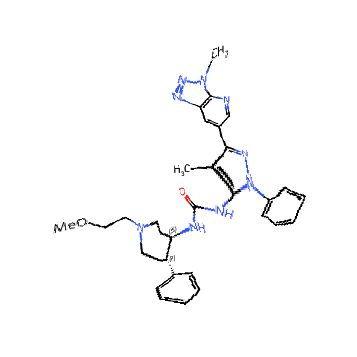 COCCN1C[C@@H](NC(=O)Nc2c(C)c(-c3cnc4c(c3)nnn4C)nn2-c2ccccc2)[C@H](c2ccccc2)C1